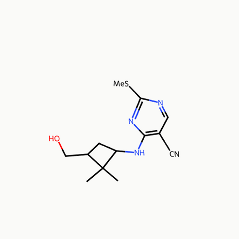 CSc1ncc(C#N)c(NC2CC(CO)C2(C)C)n1